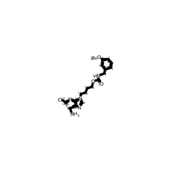 CC(C)COc1cccc(CNC(=O)OCCCCn2cnc3c(N)cc(Cl)nc32)c1